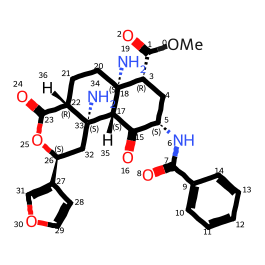 COC(=O)[C@@H]1C[C@H](NC(=O)c2ccccc2)C(=O)[C@H]2[C@@]1(N)CC[C@H]1C(=O)O[C@H](c3ccoc3)C[C@]21N